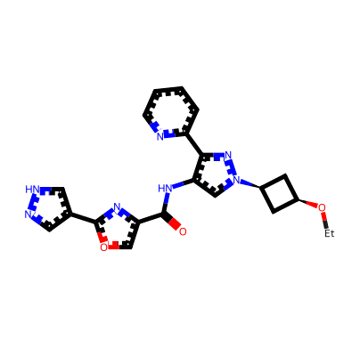 CCO[C@H]1C[C@@H](n2cc(NC(=O)c3coc(-c4cn[nH]c4)n3)c(-c3ccccn3)n2)C1